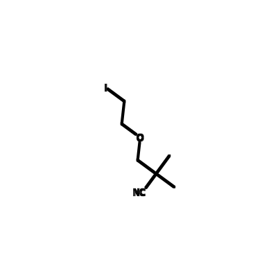 CC(C)(C#N)COCCI